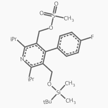 CC(C)c1nc(C(C)C)c(COS(C)(=O)=O)c(-c2ccc(F)cc2)c1CO[Si](C)(C)C(C)(C)C